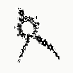 CCCCCOc1ccc(-c2ccc(-c3ccc(C(=O)NC4CC(O)C(NCCOCCOCCOCCOC)NC(=O)C5[C@@H](O)[C@@H](C)CN5C(=O)C([C@@H](C)O)NC(=O)C([C@H](O)[C@@H](O)c5ccc(O)cc5)NC(=O)C5C[C@@H](O)CN5C(=O)C([C@@H](C)O)NC4=O)cc3)cc2)cc1